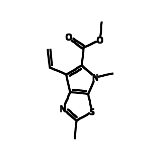 C=Cc1c(C(=O)OC)n(C)c2sc(C)nc12